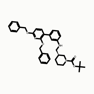 CC(C)(C)OC(=O)N1CCC[C@@H](CNc2cccc(-c3ccc(OCc4ccccc4)nc3OCc3ccccc3)c2)C1